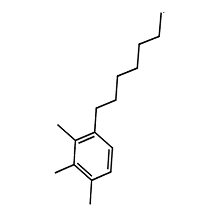 [CH2]CCCCCCc1ccc(C)c(C)c1C